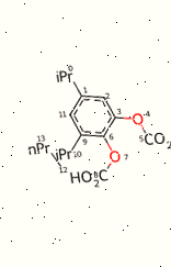 CC(C)c1cc(OC(=O)O)c(OC(=O)O)c(C(C)C)c1.CCCC